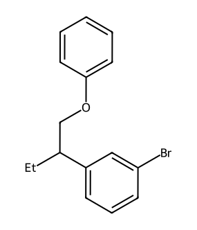 CCC(COc1ccccc1)c1cccc(Br)c1